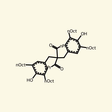 CCCCCCCCc1cc(CC(Cc2cc(CCCCCCCC)c(O)c(CCCCCCCC)c2)(C(=O)CCC)C(=O)CCC)cc(CCCCCCCC)c1O